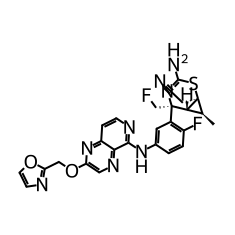 C[C@H]1[C@H]2[C@@]1(CC#N)SC(N)=N[C@]2(CF)c1cc(Nc2nccc3nc(OCc4ncco4)cnc23)ccc1F